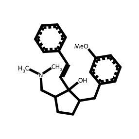 COc1cccc(CC2CCC(CN(C)C)C2(O)C=Cc2ccccc2)c1